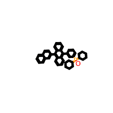 O=P(c1cccc(-c2c3ccccc3c(-c3ccc4ccccc4c3)c3ccccc23)c1)(C1CCCCC1)C1CCCCC1